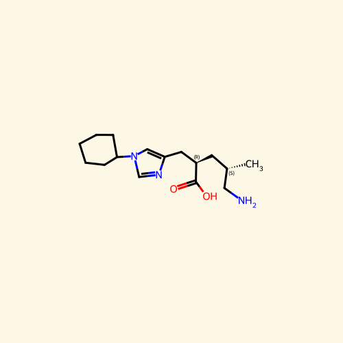 C[C@H](CN)C[C@H](Cc1cn(C2CCCCC2)cn1)C(=O)O